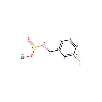 CCOS(=O)OCc1cccc(F)c1